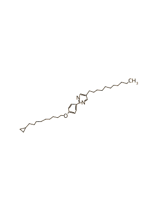 CCCCCCCCCCCc1cnc(-c2ccc(OCCCCCCCCCC3CC3)cc2)nc1